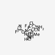 COc1nc(-c2c(C#N)c(N)cc(Cl)c2C(F)(F)F)c(F)c2nc(OC[C@]3(C)CN(C)CC[C@@H]3CF)nc(N3C[C@H]4CC[C@@H](C3)N4)c12